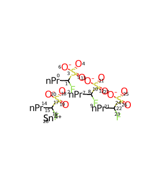 CCCC(F)S(=O)(=O)[O-].CCCC(F)S(=O)(=O)[O-].CCCC(F)S(=O)(=O)[O-].CCCC(F)S(=O)(=O)[O-].[Sn+4]